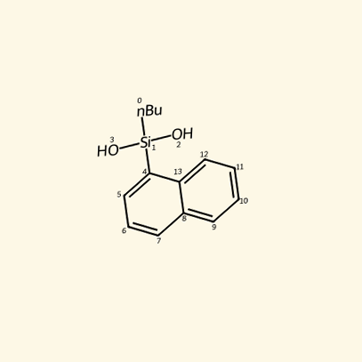 CCCC[Si](O)(O)c1cccc2ccccc12